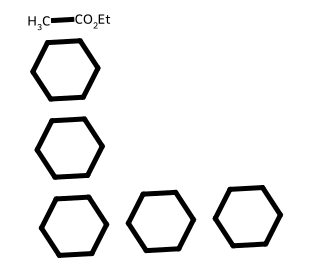 C1CCCCC1.C1CCCCC1.C1CCCCC1.C1CCCCC1.C1CCCCC1.CCOC(C)=O